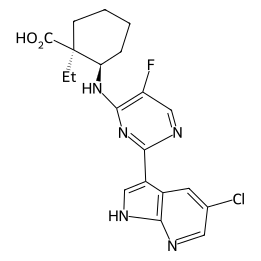 CC[C@]1(C(=O)O)CCCC[C@H]1Nc1nc(-c2c[nH]c3ncc(Cl)cc23)ncc1F